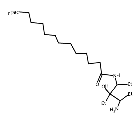 CCCCCCCCCCCCCCCCCCCCCC(=O)NC(CC)C(O)(CC)C(N)CC